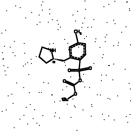 Cc1ccc(S(=O)(=O)OC(=O)OC(C)(C)C)c(C[C@@H]2CCCN2)c1